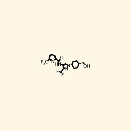 O=C(Nc1cn([C@H]2CC[C@H](CO)CC2)nc1C(F)F)c1cccc(C(F)(F)F)n1